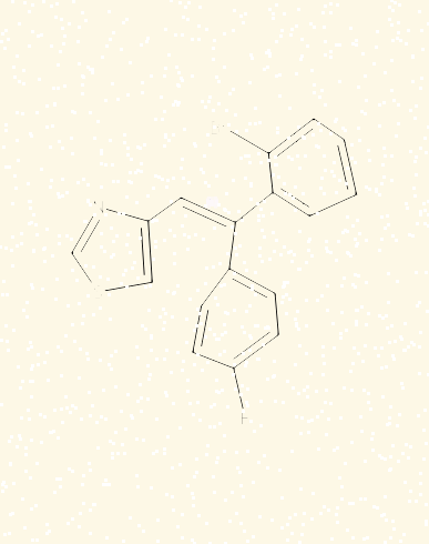 Fc1ccc(/C(=C\c2cscn2)c2ccccc2Br)cc1